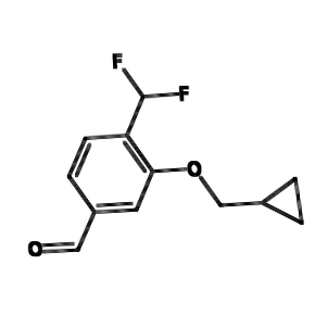 O=Cc1ccc(C(F)F)c(OCC2CC2)c1